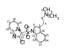 CN(C)CCc1cn(S(=O)(=O)c2c(Cl)nc3ccccn23)c2ccccc12